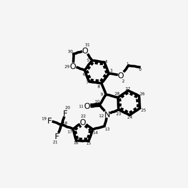 CCOc1cc2c(cc1C1C(=O)N(Cc3ccc(C(F)(F)F)o3)c3ccccc31)OCO2